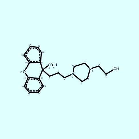 O=C(O)C1(CCCN2CCN(CCO)CC2)c2ccccc2Oc2ccccc21